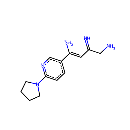 N=C(/C=C(\N)c1ccc(N2CCCC2)nc1)CN